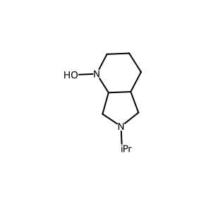 CC(C)N1CC2CCCN(O)C2C1